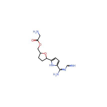 N=C/N=C(/N)c1ccc(C2CCC(COC(=O)CN)O2)[nH]1